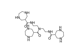 O=C(NCCN(CCNC(=O)C1CNCCNC1)C(=O)C1CNCCNC1)C1CNCCNC1